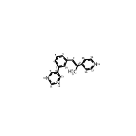 C/C(=C\c1cccc(-c2cncnc2)c1)c1ccncc1